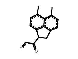 Cc1ccc2c3c(ccc(C)c13)C(C(=O)C=O)C2